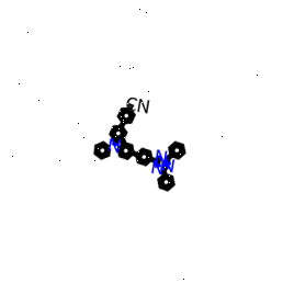 N#Cc1ccc(-c2ccc3c(c2)c2cc(-c4ccc(-c5nc(-c6ccccc6)nc(-c6ccccc6)n5)cc4)ccc2n3-c2ccccc2)cc1